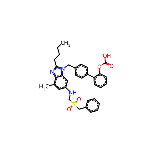 CCCCc1nc2c(C)cc(NCS(=O)(=O)Cc3ccccc3)cc2n1Cc1ccc(-c2ccccc2OC(=O)O)cc1